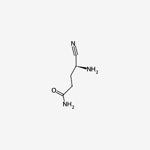 N#C[C@@H](N)CCC(N)=O